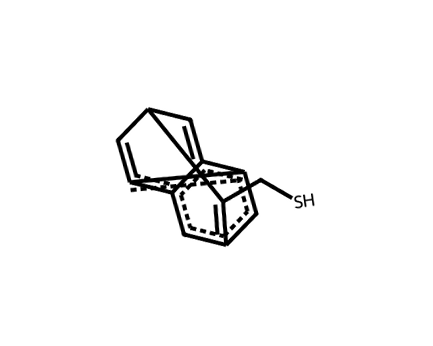 SCC1=c2cc3c4c(c2)c3=CC1C=4